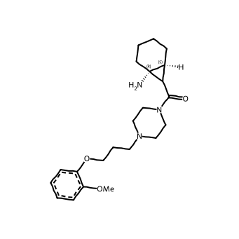 COc1ccccc1OCCCN1CCN(C(=O)C2[C@@H]3CCCC[C@]23N)CC1